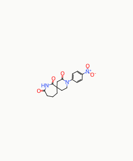 O=C1CCCC2(CCN(c3ccc([N+](=O)[O-])cc3)C(=O)C2)C(=O)N1